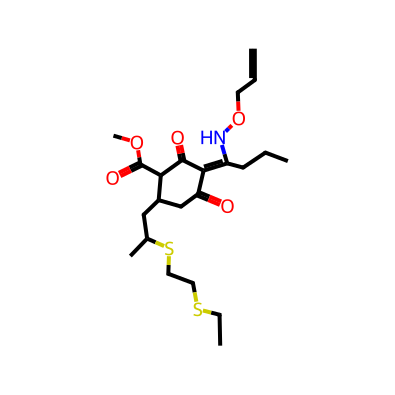 C=CCONC(CCC)=C1C(=O)CC(CC(C)SCCSCC)C(C(=O)OC)C1=O